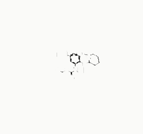 O=C(Nc1cc(C(F)(F)F)ccc1OC1CCCCN1C(=O)O)OCC(Cl)(Cl)Cl